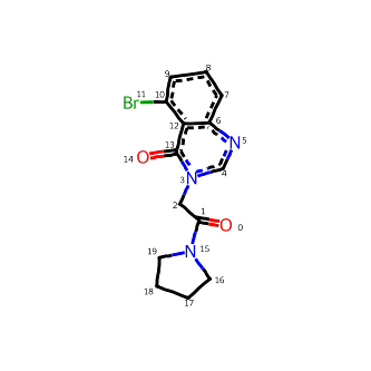 O=C(Cn1cnc2cccc(Br)c2c1=O)N1CCCC1